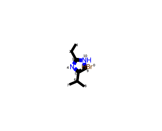 Br.CCc1nc(C(C)C)c[nH]1